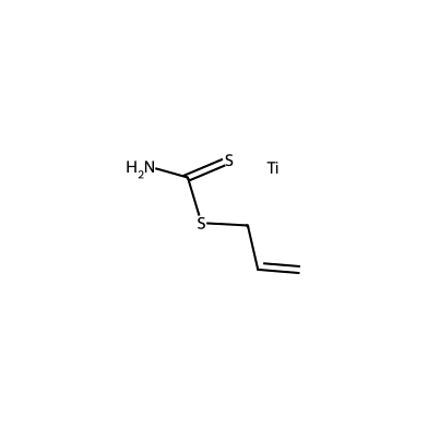 C=CCSC(N)=S.[Ti]